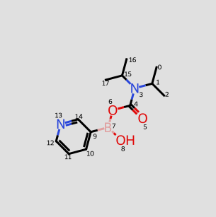 CC(C)N(C(=O)OB(O)c1cccnc1)C(C)C